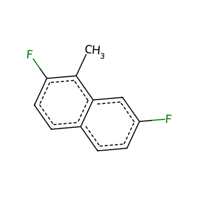 Cc1c(F)ccc2ccc(F)cc12